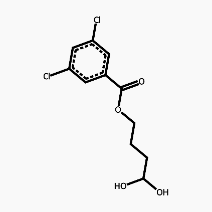 O=C(OCCCC(O)O)c1cc(Cl)cc(Cl)c1